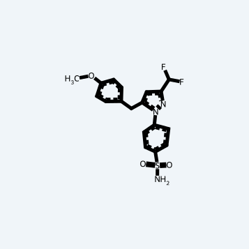 COc1ccc(Cc2cc(C(F)F)nn2-c2ccc(S(N)(=O)=O)cc2)cc1